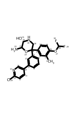 Cc1cc(C2(c3cccc(-c4ccc(Cl)nc4)c3)CNCC(N)O2)ccc1OC(F)F.Cl